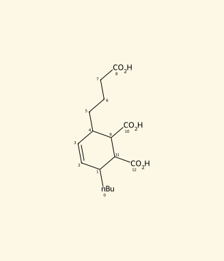 CCCCC1C=CC(CCCC(=O)O)C(C(=O)O)C1C(=O)O